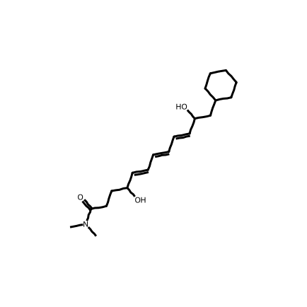 CN(C)C(=O)CCC(O)C=CC=CC=CC(O)CC1CCCCC1